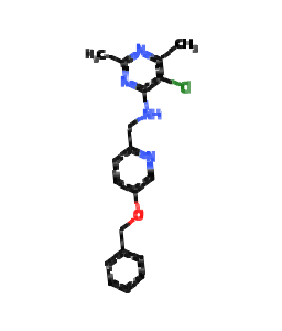 Cc1nc(C)c(Cl)c(NCc2ccc(OCc3ccccc3)cn2)n1